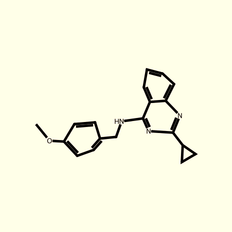 COc1ccc(CNc2nc(C3CC3)nc3ccccc23)cc1